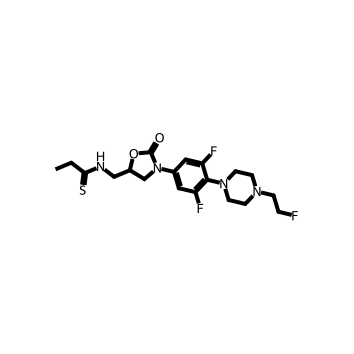 CCC(=S)NCC1CN(c2cc(F)c(N3CCN(CCF)CC3)c(F)c2)C(=O)O1